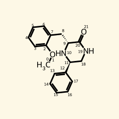 COc1ccccc1C[C@H]1N[C@H](c2ccccc2)CNC1=O